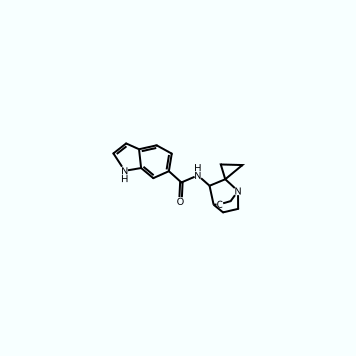 O=C(NC1C2CCN(CC2)C12CC2)c1ccc2cc[nH]c2c1